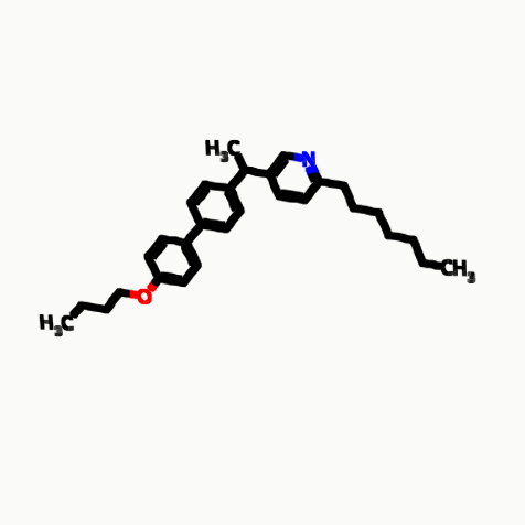 CCCCCCCc1ccc(C(C)c2ccc(-c3ccc(OCCCC)cc3)cc2)cn1